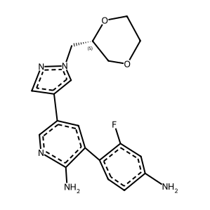 Nc1ccc(-c2cc(-c3cnn(C[C@H]4COCCO4)c3)cnc2N)c(F)c1